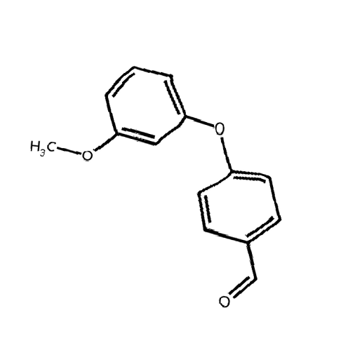 COc1cccc(Oc2ccc(C=O)cc2)c1